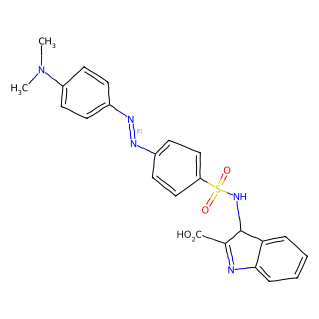 CN(C)c1ccc(/N=N/c2ccc(S(=O)(=O)NC3C(C(=O)O)=Nc4ccccc43)cc2)cc1